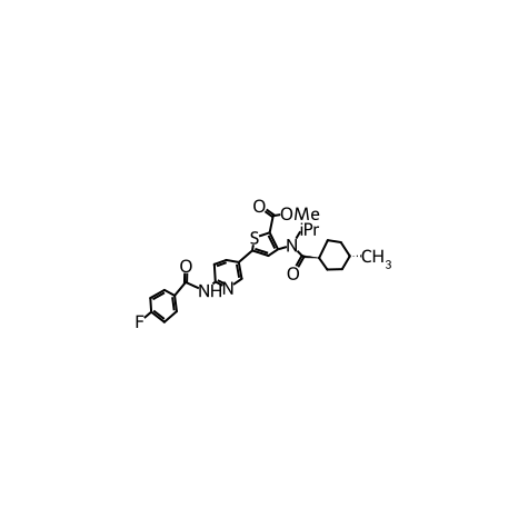 COC(=O)c1sc(-c2ccc(NC(=O)c3ccc(F)cc3)nc2)cc1N(C(=O)[C@H]1CC[C@H](C)CC1)C(C)C